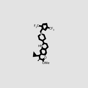 COC(=O)[C@@H](C)C(c1ccc2c(c1)NC(C1CCN(Cc3cc(C(F)(F)F)ccc3C(F)(F)F)CC1)CC2)C1CC1